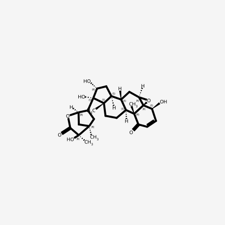 C[C@@]12CC([C@@]3(O)[C@H](O)C[C@H]4[C@@H]5C[C@H]6O[C@]67[C@@H](O)C=CC(=O)[C@]7(C)[C@H]5CC[C@@]43C)[C@@H](C1)OC(=O)[C@]2(C)O